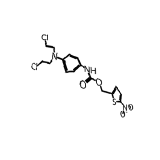 O=C(Nc1ccc(N(CCCl)CCCl)cc1)OCc1ccc([N+](=O)[O-])s1